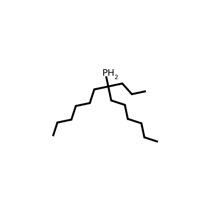 CCCCCCC(P)(CCC)CCCCCC